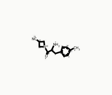 Cc1ccc(CC(N)C(=O)N2CC(C#N)C2)cc1